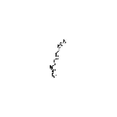 [N-]=[N+]=NCCOCCN=[N+]=[N-]